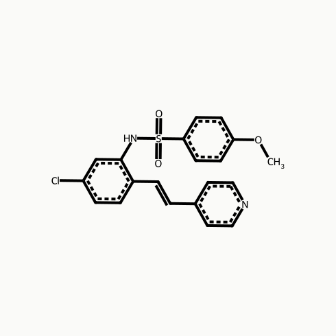 COc1ccc(S(=O)(=O)Nc2cc(Cl)ccc2/C=C/c2ccncc2)cc1